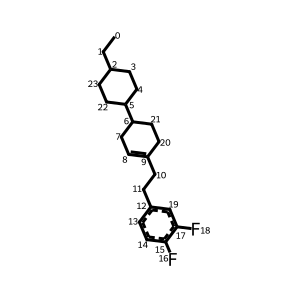 CCC1CCC(C2CC=C(CCc3ccc(F)c(F)c3)CC2)CC1